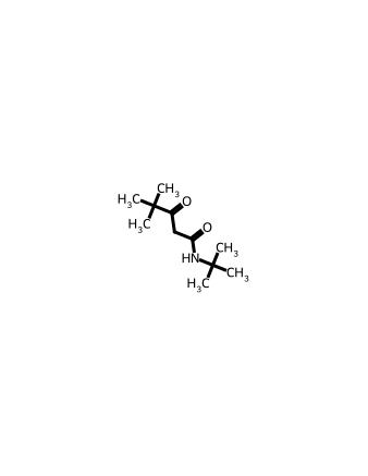 CC(C)(C)NC(=O)CC(=O)C(C)(C)C